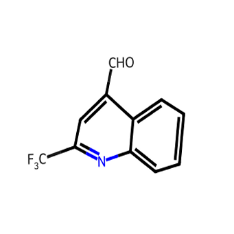 O=Cc1cc(C(F)(F)F)nc2ccccc12